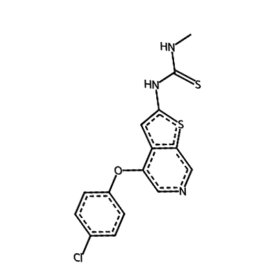 CNC(=S)Nc1cc2c(Oc3ccc(Cl)cc3)cncc2s1